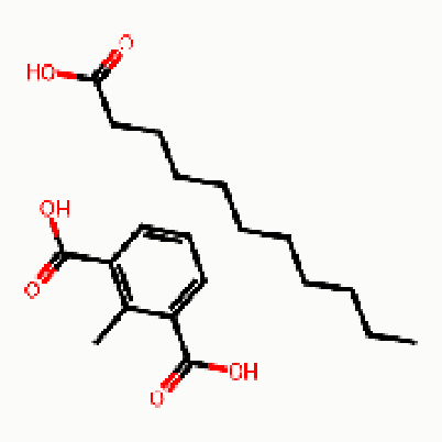 CCCCCCCCCCC(=O)O.Cc1c(C(=O)O)cccc1C(=O)O